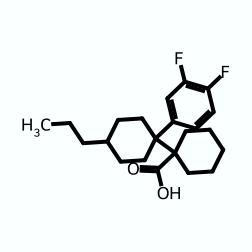 CCCC1CCC(c2ccc(F)c(F)c2)(C2(C(=O)O)CCCCC2)CC1